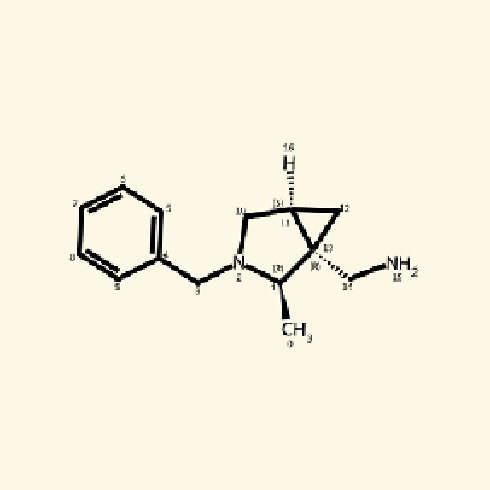 C[C@H]1N(Cc2ccccc2)C[C@H]2C[C@]21CN